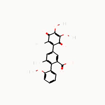 COC1=C(OC)C(=O)C(c2cc(C)c(-c3ccccc3OC)c(C(=O)O)c2)=C(C)C1=O